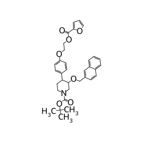 CC(C)(C)OC(=O)N1CCC(c2ccc(OCCOC(=O)c3ccco3)cc2)C(OCc2ccc3ccccc3c2)C1